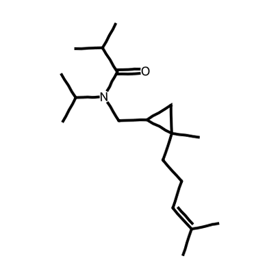 CC(C)=CCCC1(C)CC1CN(C(=O)C(C)C)C(C)C